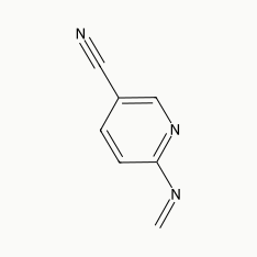 C=Nc1ccc(C#N)cn1